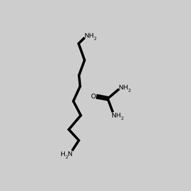 NC(N)=O.NCCCCCCCCN